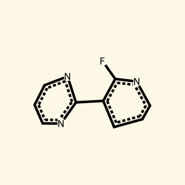 Fc1ncccc1-c1ncccn1